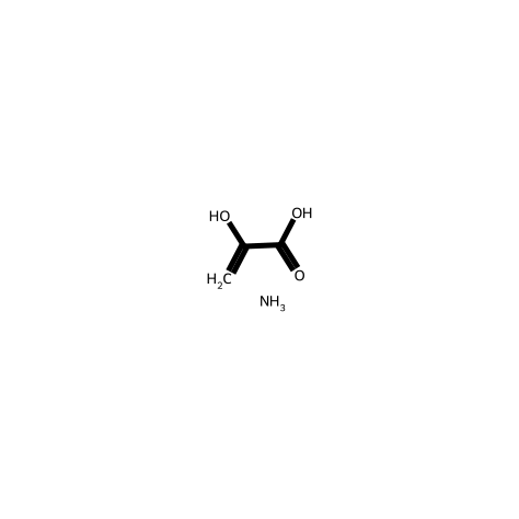 C=C(O)C(=O)O.N